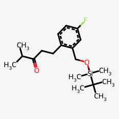 CC(C)C(=O)CCc1ccc(F)cc1CO[Si](C)(C)C(C)(C)C